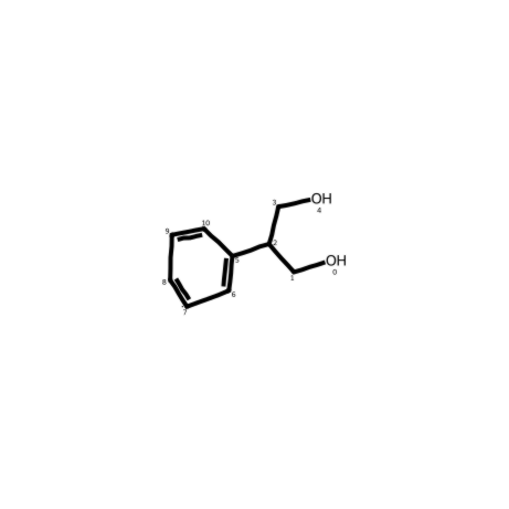 OCC(CO)c1c[c]ccc1